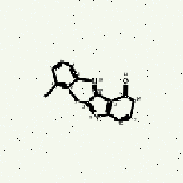 Cc1cccc2c1CC1=NC3=C(C(=O)CC=C3)C1=N2